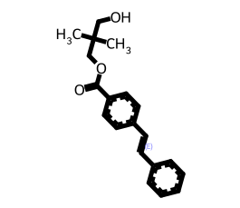 CC(C)(CO)COC(=O)c1ccc(/C=C/c2ccccc2)cc1